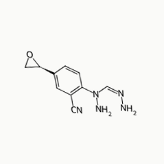 N#Cc1cc([C@H]2CO2)ccc1N(N)/C=N\N